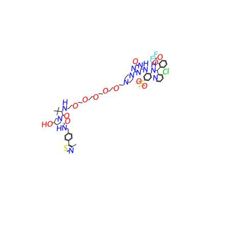 COc1nc(Nc2cc(S(C)(=O)=O)ccc2N[C@@H](c2cccc3c2OC(F)(F)O3)c2ncccc2Cl)nc(N2CCN(CCOCCOCCOCCOCCOCCN[C@H](C(=O)N3C[C@H](O)C[C@H]3C(=O)NCc3ccc(-c4scnc4C)cc3)C(C)(C)C)CC2)n1